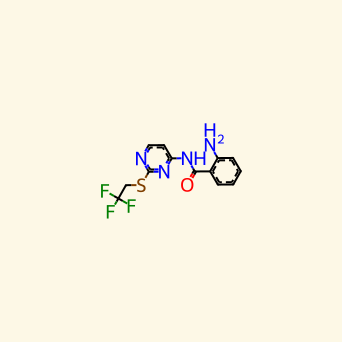 Nc1ccccc1C(=O)Nc1ccnc(SCC(F)(F)F)n1